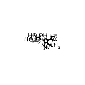 Cc1ncnc2c1c(-c1ccoc1)cn2[C@@H]1O[C@H](CO)[C@@H](O)[C@H]1O